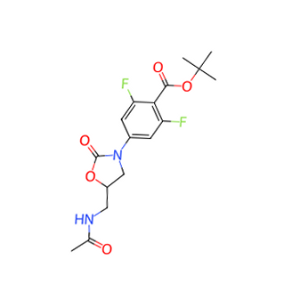 CC(=O)NCC1CN(c2cc(F)c(C(=O)OC(C)(C)C)c(F)c2)C(=O)O1